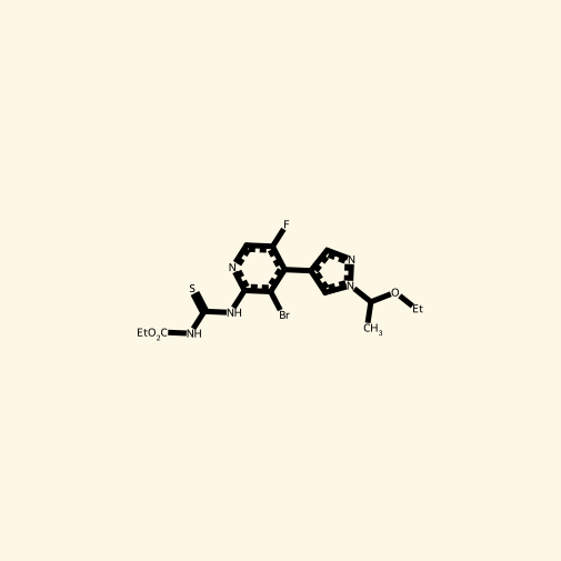 CCOC(=O)NC(=S)Nc1ncc(F)c(-c2cnn(C(C)OCC)c2)c1Br